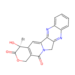 CC[C@@]1(O)C(=O)OCc2c1cc1n(c2=O)Cc2nc3ccccc3nc2-1